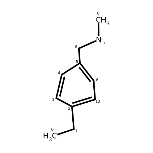 CCc1ccc(C[N]C)cc1